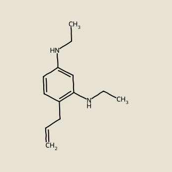 C=CCc1ccc(NCC)cc1NCC